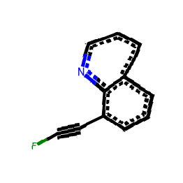 FC#Cc1cccc2cc[c]nc12